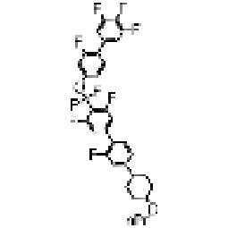 CCCOC1CCC(c2ccc(-c3cc(F)c(C(F)(F)Oc4ccc(-c5cc(F)c(F)c(F)c5)c(F)c4)c(F)c3)c(F)c2)CC1